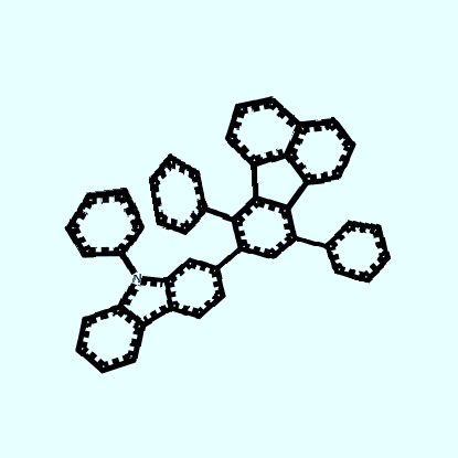 c1ccc(-c2cc(-c3ccc4c5ccccc5n(-c5ccccc5)c4c3)c(-c3ccccc3)c3c2-c2cccc4cccc-3c24)cc1